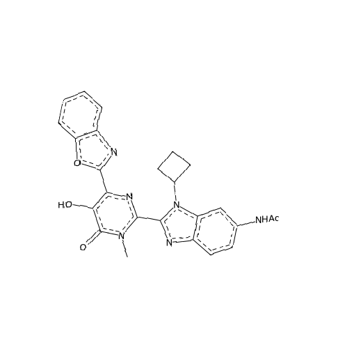 CC(=O)Nc1ccc2nc(-c3nc(-c4nc5ccccc5o4)c(O)c(=O)n3C)n(C3CCC3)c2c1